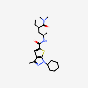 CC[C@H](C[C@@H](C)NC(=O)c1cc2c(C)nn(C3CCCCC3)c2s1)C(=O)N(C)C